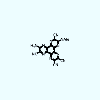 CNc1nc2c3nc(C#N)c(C#N)nc3c3nc(C#N)c(N)nc3c2nc1C#N